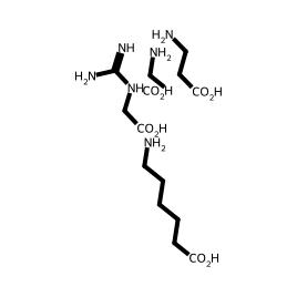 N=C(N)NCC(=O)O.NCC(=O)O.NCCC(=O)O.NCCCCCC(=O)O